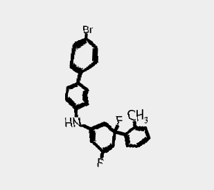 Cc1ccccc1C1(F)C=C(F)C=C(Nc2ccc(-c3ccc(Br)cc3)cc2)C1